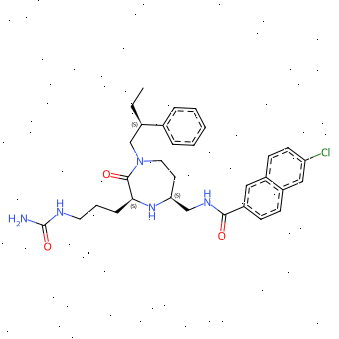 CC[C@H](CN1CC[C@@H](CNC(=O)c2ccc3cc(Cl)ccc3c2)N[C@@H](CCCNC(N)=O)C1=O)c1ccccc1